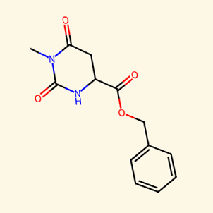 CN1C(=O)CC(C(=O)OCc2ccccc2)NC1=O